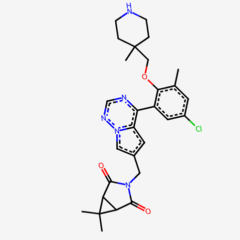 Cc1cc(Cl)cc(-c2ncnn3cc(CN4C(=O)C5C(C4=O)C5(C)C)cc23)c1OCC1(C)CCNCC1